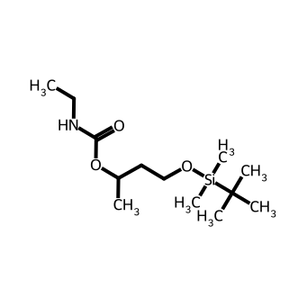 CCNC(=O)OC(C)CCO[Si](C)(C)C(C)(C)C